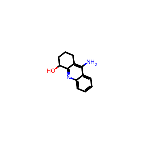 Nc1c2c(nc3ccccc13)C(O)CCC2